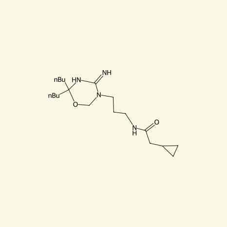 CCCCC1(CCCC)NC(=N)N(CCCNC(=O)CC2CC2)CO1